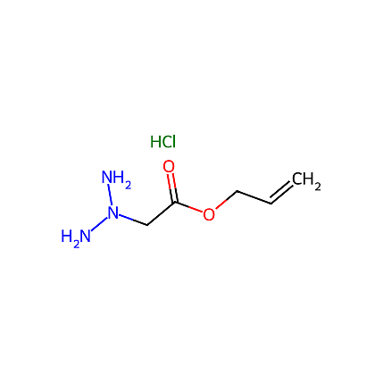 C=CCOC(=O)CN(N)N.Cl